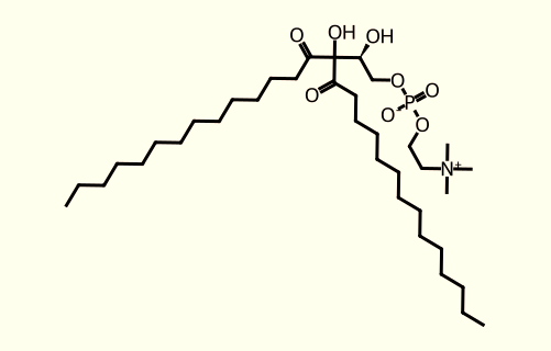 CCCCCCCCCCCCCC(=O)C(O)(C(=O)CCCCCCCCCCCCC)[C@@H](O)COP(=O)([O-])OCC[N+](C)(C)C